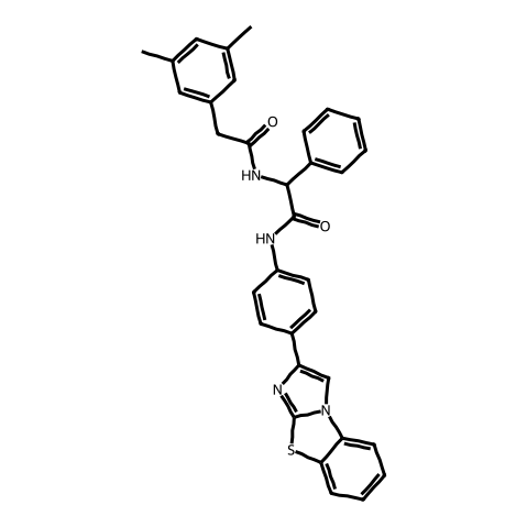 Cc1cc(C)cc(CC(=O)NC(C(=O)Nc2ccc(-c3cn4c(n3)sc3ccccc34)cc2)c2ccccc2)c1